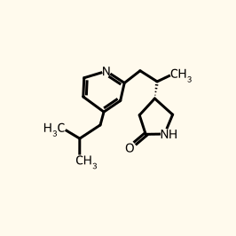 CC(C)Cc1ccnc(CC(C)[C@@H]2CNC(=O)C2)c1